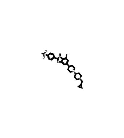 Cn1c(-c2ccc(S(C)(=O)=O)cc2)nc2cc(C3CCN(C4CCN(CC5CC5)CC4)CC3)cc(F)c21